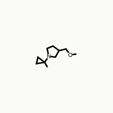 COCC1CCN(C2(C)CC2)C1